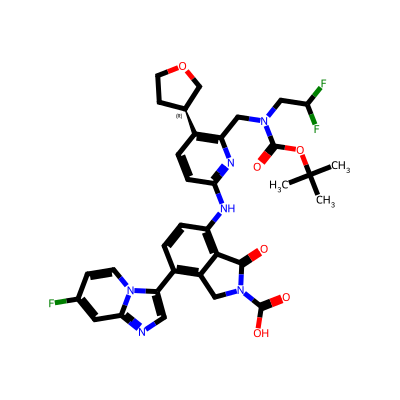 CC(C)(C)OC(=O)N(Cc1nc(Nc2ccc(-c3cnc4cc(F)ccn34)c3c2C(=O)N(C(=O)O)C3)ccc1[C@H]1CCOC1)CC(F)F